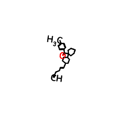 C#CCCC=CC1CCC(C2(C(=O)c3ccc(C)cc3)CCCCC2)CC1